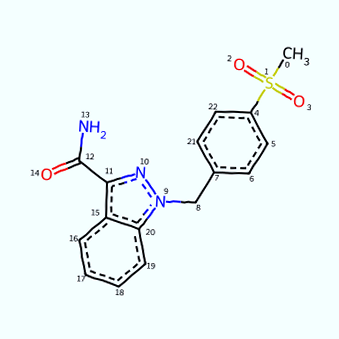 CS(=O)(=O)c1ccc(Cn2nc(C(N)=O)c3ccccc32)cc1